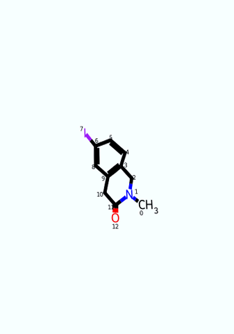 CN1Cc2ccc(I)cc2CC1=O